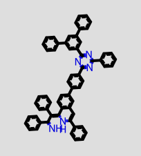 N=C(/C(=C1\NC(c2ccccc2)=Cc2cc(-c3ccc(-c4nc(-c5ccccc5)nc(-c5cc(-c6ccccc6)cc(-c6ccccc6)c5)n4)cc3)ccc21)c1ccccc1)c1ccccc1